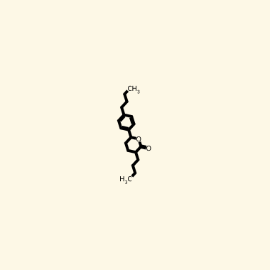 CCCCc1ccc(C2CCC(CCCC)C(=O)O2)cc1